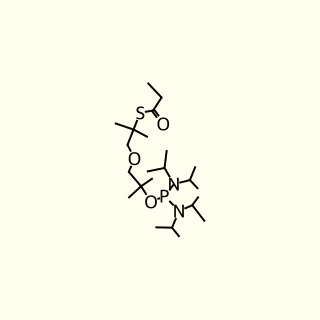 CCC(=O)SC(C)(C)COCC(C)(C)OP(N(C(C)C)C(C)C)N(C(C)C)C(C)C